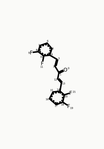 O=C(C=Cc1cccc(F)c1F)C=Cc1cccc(F)c1F